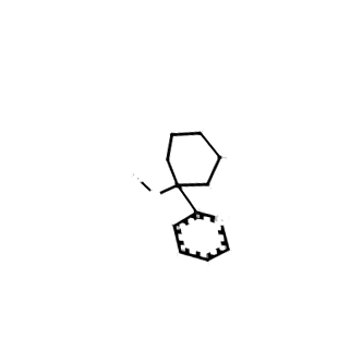 [N]SC1(c2ccccn2)CCCCC1